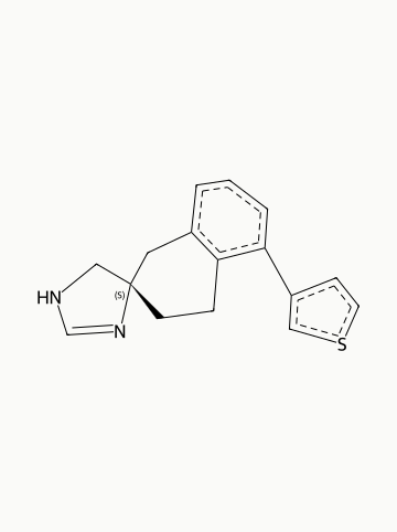 C1=N[C@]2(CCc3c(cccc3-c3ccsc3)C2)CN1